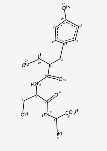 CC(C)C(NC(=O)C(CO)NC(=O)C(Cc1ccc(O)cc1)NC(C)(C)C)C(=O)O